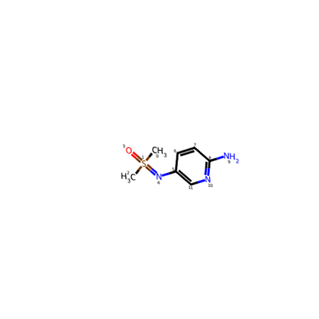 CS(C)(=O)=Nc1ccc(N)nc1